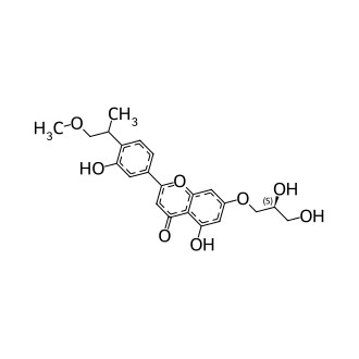 COCC(C)c1ccc(-c2cc(=O)c3c(O)cc(OC[C@@H](O)CO)cc3o2)cc1O